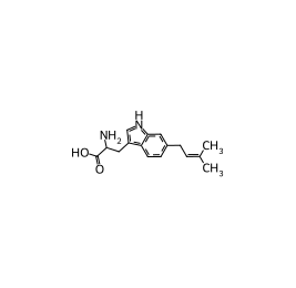 CC(C)=CCc1ccc2c(CC(N)C(=O)O)c[nH]c2c1